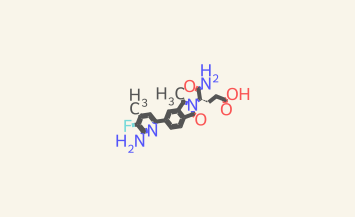 Cc1cc(-c2ccc3c(c2)C(C)N([C@@H](CCC(=O)O)C(N)=O)C3=O)nc(N)c1F